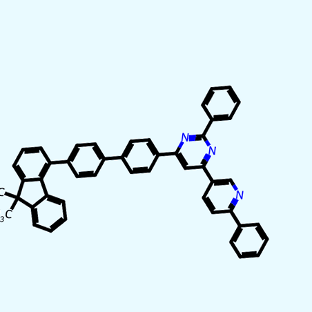 CC1(C)c2ccccc2-c2c(-c3ccc(-c4ccc(-c5cc(-c6ccc(-c7ccccc7)nc6)nc(-c6ccccc6)n5)cc4)cc3)cccc21